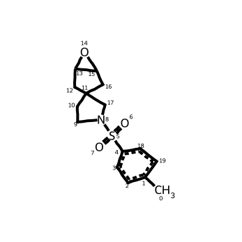 Cc1ccc(S(=O)(=O)N2CCC3(CC4OC4C3)C2)cc1